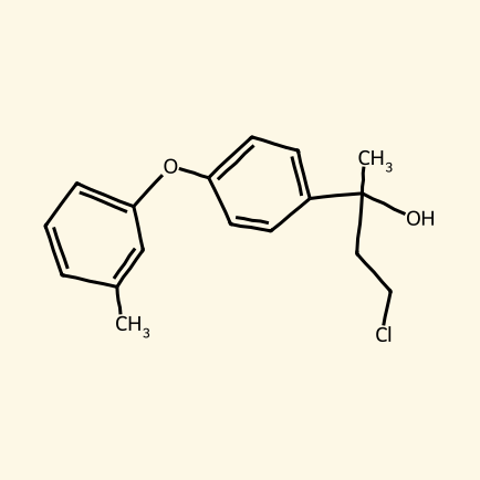 Cc1cccc(Oc2ccc(C(C)(O)CCCl)cc2)c1